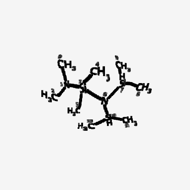 CN(C)[Si](C)(C)N([SiH](C)C)[SiH](C)C